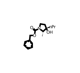 CCC[C@]1(O)CCN(C(=O)OCc2ccccc2)[C@H]1C